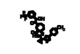 CN1CCC(c2csc(C3(c4nc5c(c(=O)[nH]4)CN(C(=O)[C@H](O)c4cccc(C(F)(F)F)c4)CCC5)CC3)c2)CC1